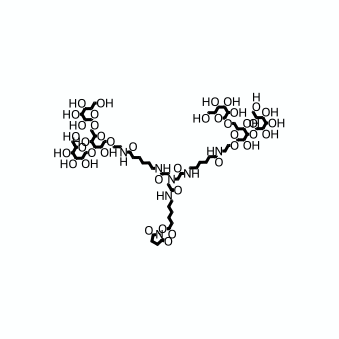 O=C(CCCCCNC(=O)CN(CC(=O)NCCCCCC(=O)NCCOC1OC(COC2OC(CO)C(O)C(O)C2O)C(O)C(OC2OC(CO)C(O)C(O)C2O)C1O)CC(=O)NCCCCCC(=O)ON1C(=O)CCC1=O)NCCOC1OC(COC2OC(CO)C(O)C(O)C2O)C(O)C(OC2OC(CO)C(O)C(O)C2O)C1O